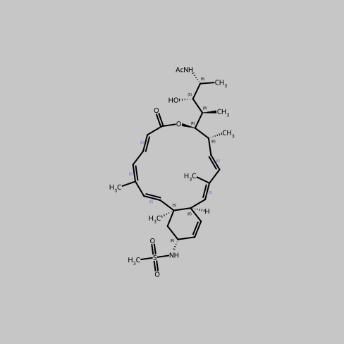 CC(=O)N[C@H](C)[C@@H](O)[C@@H](C)[C@@H]1OC(=O)/C=C/C=C(C)\C=C\[C@]2(C)C[C@@H](NS(C)(=O)=O)C=C[C@@H]2/C=C(C)/C=C/[C@H]1C